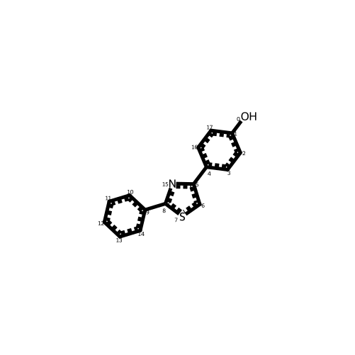 Oc1ccc(-c2csc(-c3ccccc3)n2)cc1